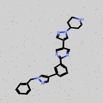 c1ccc(Cn2cc(-c3cccc(-c4ncc(-c5cnn(C6CCNCC6)c5)cn4)c3)cn2)cc1